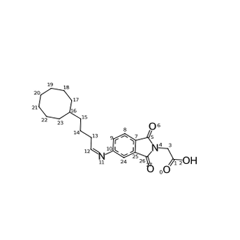 O=C(O)CN1C(=O)c2ccc(/N=C\CCCC3CCCCCCC3)cc2C1=O